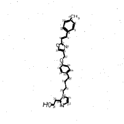 Cc1ccc(C=Cc2nc(COc3ccc(CCCCn4ccnc4CCO)cc3)co2)cc1